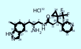 Cc1cc(C[C@H](N)CNC(=O)C[C@H](c2cccnc2)C2(C(F)(F)F)CC2)cc2cn[nH]c12.Cl